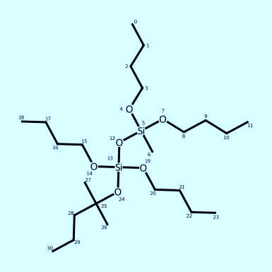 CCCCO[Si](C)(OCCCC)O[Si](OCCCC)(OCCCC)OC(C)(C)CCC